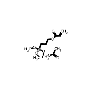 C=CC(=O)OCCC[Si](OC)(OC)OC.CC([O])=O